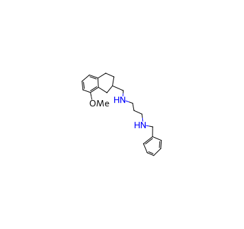 COc1cccc2c1CC(CNCCCNCc1ccccc1)CC2